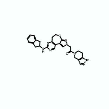 O=C(Cn1cc2c(n1)OCCc1nc(NC3Cc4ccccc4C3)ncc1-2)N1CCc2[nH]nnc2C1